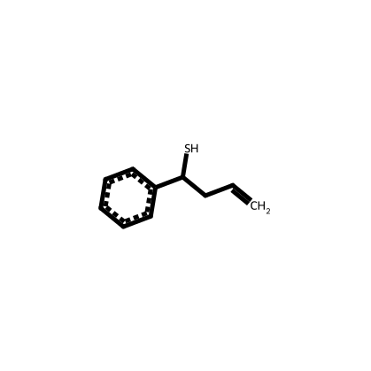 C=CCC(S)c1ccccc1